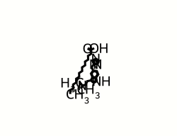 CCCCCCCCCCCCCCCC(=O)O.CN(C)CCc1c[nH]c2ccc(Cn3cncn3)cc12